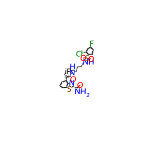 CC(C)C[C@H](C(=O)NCCCCNS(=O)(=O)c1ccc(F)cc1Cl)c1cccc2sc(C(N)=O)nc12